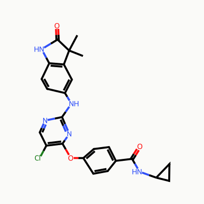 CC1(C)C(=O)Nc2ccc(Nc3ncc(Cl)c(Oc4ccc(C(=O)NC5CC5)cc4)n3)cc21